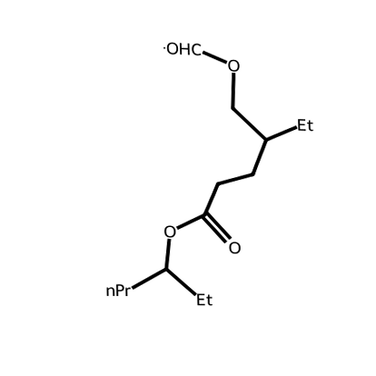 CCCC(CC)OC(=O)CCC(CC)CO[C]=O